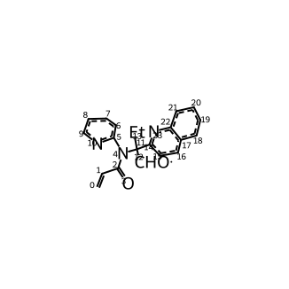 C=CC(=O)N(c1ccccn1)C([C]=O)(CC)c1ccc2ccccc2n1